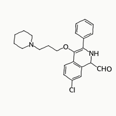 O=CC1NC(c2ccccc2)=C(OCCCN2CCCCC2)c2ccc(Cl)cc21